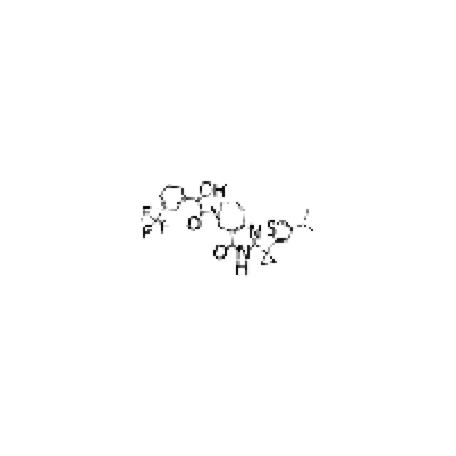 CC(C)c1csc(C2(c3nc4c(c(=O)[nH]3)CN(C(=O)[C@H](O)c3cccc(C(F)(F)F)c3)CCC4)CC2)c1